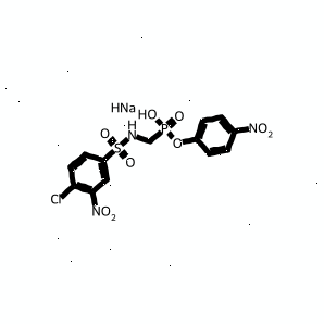 O=[N+]([O-])c1ccc(OP(=O)(O)CNS(=O)(=O)c2ccc(Cl)c([N+](=O)[O-])c2)cc1.[NaH]